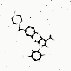 Cc1ccc(O)c(C)c1-n1c(N)c(C(N)=O)c2nc3ccc(C(=O)N4CCN(C)CC4)cc3nc21